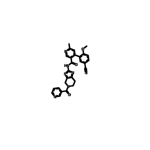 COc1ccc(C#N)cc1-c1cc(C)ncc1C(=O)Nc1nc2c(s1)CN(C(=O)c1cccnc1)CC2